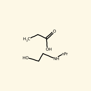 CCC(=O)O.CCCNCCO